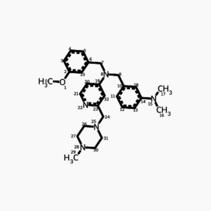 COc1cccc(CN(Cc2cccc(N(C)C)c2)c2ccnc(CN3CCN(C)CC3)c2)c1